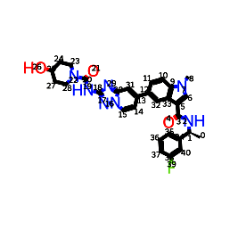 C[C@H](NC(=O)c1cn(C)c2ccc(-c3ccn4nc(NC(=O)N5CCC(O)CC5)nc4c3)cc12)c1cccc(F)c1